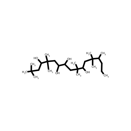 CCCC(C)C(C)(C)CC(O)C(C)(C)CC(O)C(O)CC(C)(C)C(O)CC(C)(C)C